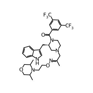 CC(CN1CCN(C(=O)c2cc(C(F)(F)F)cc(C(F)(F)F)c2)[C@H](Cc2c[nH]c3ccccc23)C1)=NOCCN1C(C)COCC1C